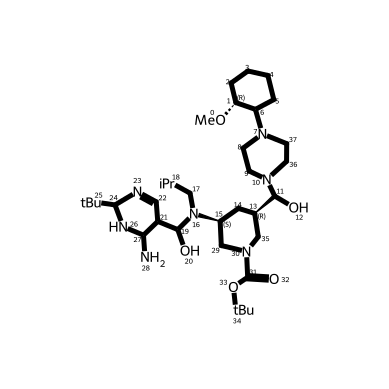 CO[C@@H]1CCCCC1N1CCN(C(O)[C@@H]2C[C@H](N(CC(C)C)C(O)C3C=NC(C(C)(C)C)NC3N)CN(C(=O)OC(C)(C)C)C2)CC1